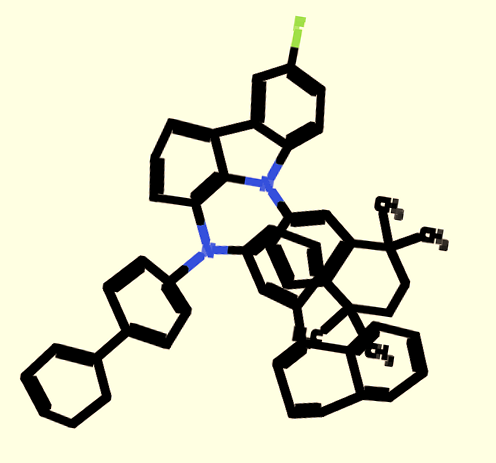 CC1(C)CCC(C)(C)c2cc(-n3c4ccc(F)cc4c4cccc(N(c5ccc(C6=CC=CCC6)cc5)c5cccc(-c6cccc7ccccc67)c5)c43)ccc21